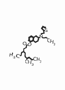 CCCC(C)CCC(CCC)CCC(=O)Oc1cccc2c1CCC(N(CCC)CCc1cccs1)C2